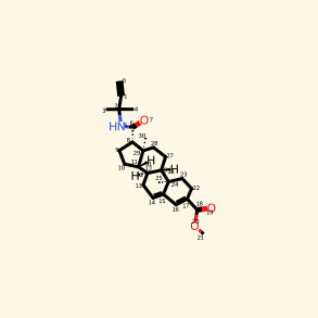 C#CC(C)(C)NC(=O)[C@H]1CC[C@H]2[C@@H]3CC=C4C=C(C(=O)OC)CC[C@]4(C)[C@H]3CC[C@]12C